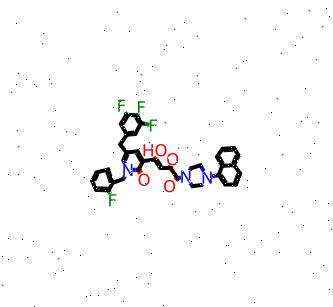 O=C(C=C(O)c1cc(Cc2cc(F)c(F)c(F)c2)cn(Cc2ccccc2F)c1=O)C(=O)N1CCN(c2cccc3ccccc23)CC1